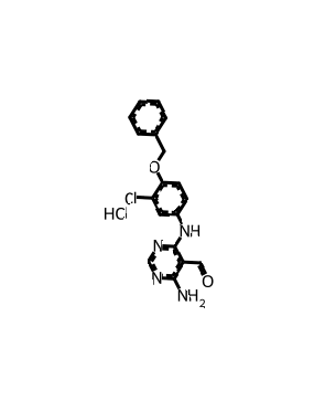 Cl.Nc1ncnc(Nc2ccc(OCc3ccccc3)c(Cl)c2)c1C=O